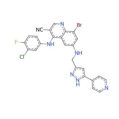 N#Cc1cnc2c(Br)cc(NCc3cc(-c4ccncc4)[nH]n3)cc2c1Nc1ccc(F)c(Cl)c1